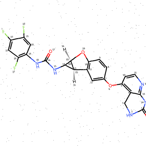 O=C1NCc2c(Oc3ccc4c(c3)[C@H]3C(NC(=O)Nc5cc(F)c(F)cc5F)[C@H]3O4)ccnc2N1